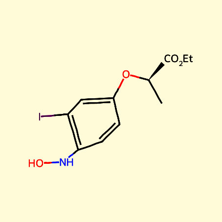 CCOC(=O)[C@@H](C)Oc1ccc(NO)c(I)c1